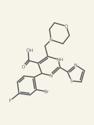 O=C(O)C1=C(CN2CCOCC2)NC(c2nccs2)=NC1c1ccc(F)cc1Br